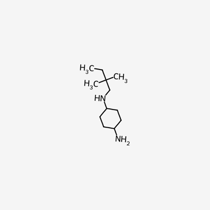 CCC(C)(C)CNC1CCC(N)CC1